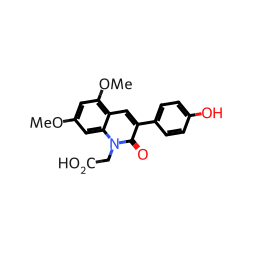 COc1cc(OC)c2cc(-c3ccc(O)cc3)c(=O)n(CC(=O)O)c2c1